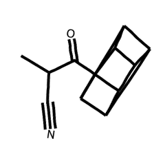 CC(C#N)C(=O)C12C3C4C5C3C1C5C42